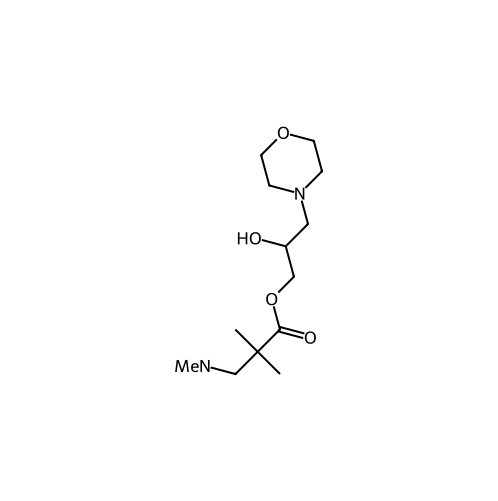 CNCC(C)(C)C(=O)OCC(O)CN1CCOCC1